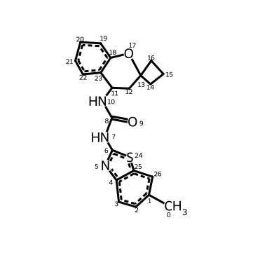 Cc1ccc2nc(NC(=O)NC3CC4(CCC4)Oc4ccccc43)sc2c1